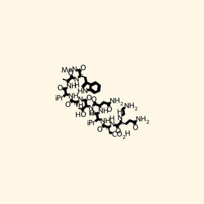 CNC(=O)[C@@H](Cc1c[nH]c2ccccc12)NC(=O)[C@H](C)NC(=O)C(NC(=O)[C@H](C)NC(=O)C(NC(=O)C(CC(N)=O)NC(=O)C(NC(=O)[C@H](CC(=O)O)NC(=O)[C@H](CCC(N)=O)NCCN)C(C)C)[C@H](C)O)C(C)C